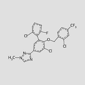 Cn1cnc(-c2cc(Cl)c(OCc3ccc(C(F)(F)F)cc3Cl)c(-c3c(F)cccc3Cl)c2)n1